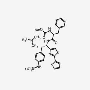 CN(C)C.COC(=O)N[C@@H](Cc1ccccc1)C(=O)N[C@@H](Cc1ccc(NS(=O)(=O)O)cc1)c1csc(-c2cccs2)n1